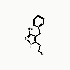 CC(C)(C)c1n[nH]c(CCBr)c1Cc1ccccc1